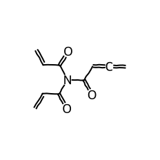 C=C=CC(=O)N(C(=O)C=C)C(=O)C=C